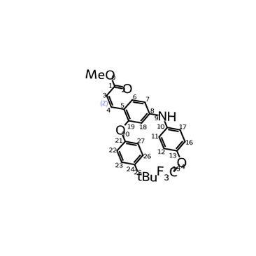 COC(=O)/C=C\c1ccc(Nc2ccc(OC(F)(F)F)cc2)cc1Oc1ccc(C(C)(C)C)cc1